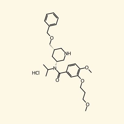 COCCCOc1cc(C(=O)N(C(C)C)[C@H]2CNC[C@@H](COCc3ccccc3)C2)ccc1OC.Cl